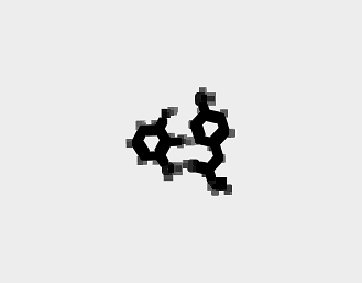 NC(=O)Cc1ccc(O)cc1.Oc1cccc(F)c1F